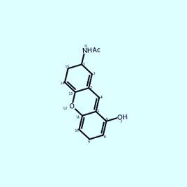 CC(=O)NC1C=C2C=C3C(O)=CCC=C3OC2=CC1